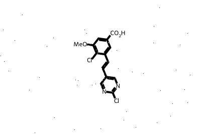 COc1cc(C(=O)O)cc(C=Cc2cnc(Cl)nc2)c1Cl